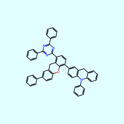 c1ccc(-c2ccc3c(c2)Cc2c(-c4nc(-c5ccccc5)nc(-c5ccccc5)n4)ccc(-c4ccc5c(c4)Cc4ccccc4N5c4ccccc4)c2O3)cc1